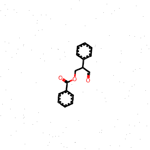 O=CC(COC(=O)c1ccccc1)c1ccccc1